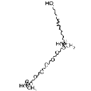 C=P(O)(OCCCCCCSSCCCCCCO)OCCOCCOCCOCCOCCOCCOP(C)(=O)O